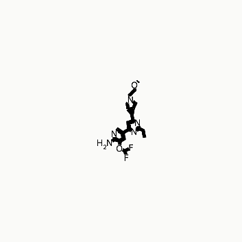 CCc1nc(-c2cnc(N)c(OC(F)F)c2)cc(C2C3CN(CCOC)CC32)n1